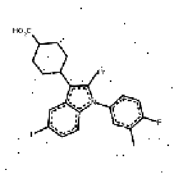 Cc1cc(-n2c(C(C)C)c(C3CCC(C(=O)O)CC3)c3cc(F)ccc32)ccc1F